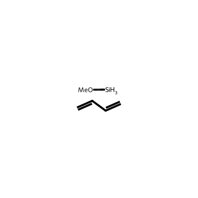 C=CC=C.CO[SiH3]